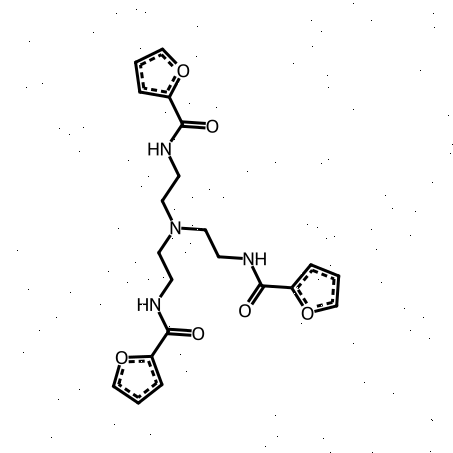 O=C(NCCN(CCNC(=O)c1ccco1)CCNC(=O)c1ccco1)c1ccco1